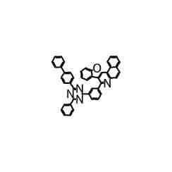 c1ccc(-c2ccc(-c3nc(-c4ccccc4)nc(-c4cccc(-c5nc6ccc7ccccc7c6c6oc7ccccc7c56)c4)n3)cc2)cc1